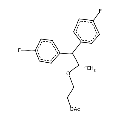 CC(=O)OCCO[C@@H](C)C(c1ccc(F)cc1)c1ccc(F)cc1